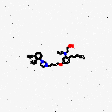 C=CCCc1ccc(OCCCCN2CCN(c3cccc(C)c3C)C2)cc1N(C)CCO